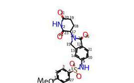 COc1ccc(S(=O)(=O)Nc2ccc3c(c2)CN(C2CCC(=O)NC2=O)C3=O)cc1